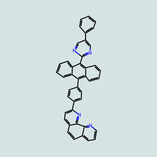 c1ccc(-c2cnc(-c3c4ccccc4c(-c4ccc(-c5ccc6ccc7cccnc7c6n5)cc4)c4ccccc34)nc2)cc1